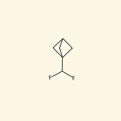 FC(F)C12CC(C1)C2